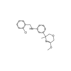 COC1=NC(C)(c2cccc(NCc3ccccc3Cl)c2)COC1